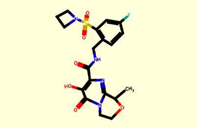 CC1OCCn2c1nc(C(=O)NCc1ccc(F)cc1S(=O)(=O)N1CCC1)c(O)c2=O